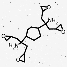 NC(CC1CO1)(CC1CO1)C1CCC(C(N)(CC2CO2)CC2CO2)CC1